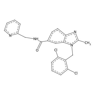 Cc1nc2ccc(C(=O)NCc3ccccn3)cc2n1Cc1c(Cl)cccc1Cl